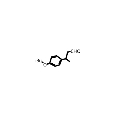 CCC(C)Oc1ccc(C(C)CC=O)cc1